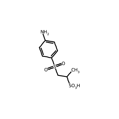 CC(CS(=O)(=O)c1ccc(N)cc1)S(=O)(=O)O